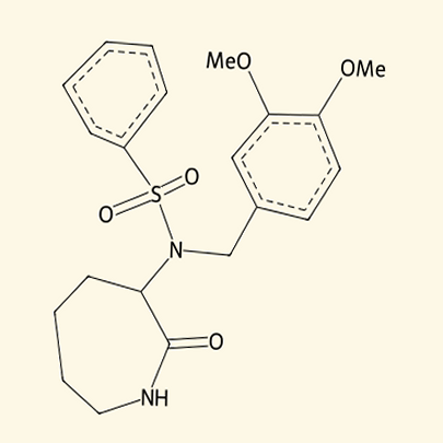 COc1ccc(CN(C2CCCCNC2=O)S(=O)(=O)c2ccccc2)cc1OC